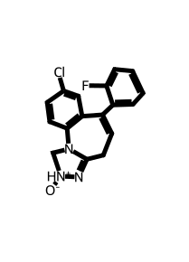 [O-][NH+]1CN2C(=N1)CC=C(c1ccccc1F)c1cc(Cl)ccc12